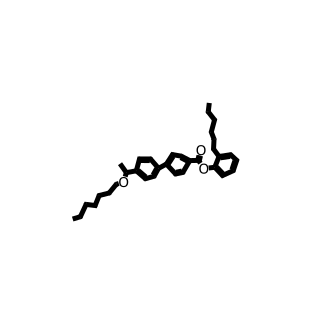 CCCCCCCOC(C)c1ccc(-c2ccc(C(=O)Oc3ccccc3CCCCCC)cc2)cc1